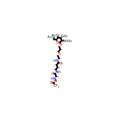 CC(=O)NC1C(OCCCOCCNC(=O)CCCNC(=O)CNOC(=O)C(F)(F)F)OC(COC(C)=O)C(OC(C)=O)C1OC(C)=O